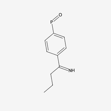 CCCC(=N)c1ccc(P=O)cc1